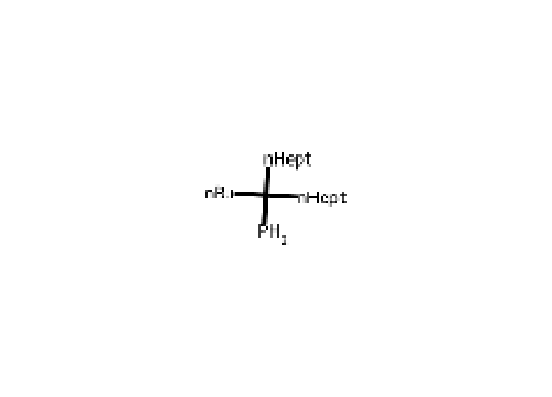 CCCCCCCC(P)(CCCC)CCCCCCC